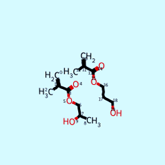 C=C(C)C(=O)OCC(C)O.C=C(C)C(=O)OCCCO